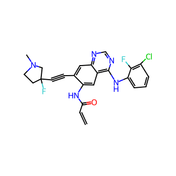 C=CC(=O)Nc1cc2c(Nc3cccc(Cl)c3F)ncnc2cc1C#CC1(F)CCN(C)C1